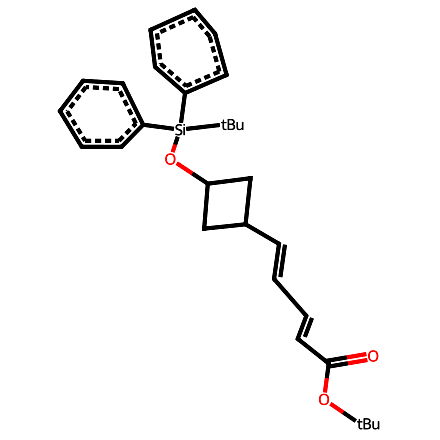 CC(C)(C)OC(=O)/C=C/C=C/C1CC(O[Si](c2ccccc2)(c2ccccc2)C(C)(C)C)C1